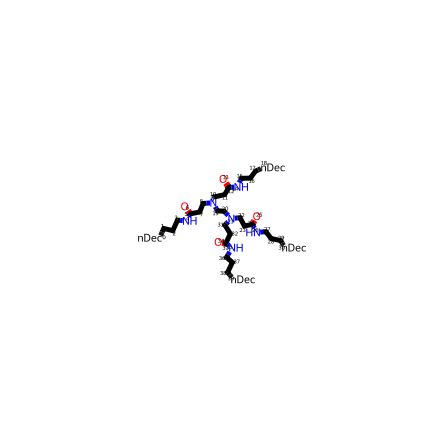 CCCCCCCCCCCCCNC(=O)CCN(CCC(=O)NCCCCCCCCCCCCC)CCN(CCC(=O)NCCCCCCCCCCCCC)CCC(=O)NCCCCCCCCCCCCC